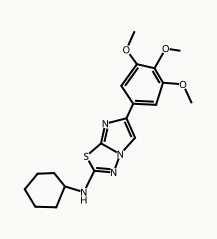 COc1cc(-c2cn3nc(NC4CCCCC4)sc3n2)cc(OC)c1OC